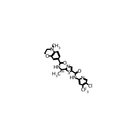 C[C@@H](NC(=O)c1ccc2c(c1)OCCN2C)c1ncc(C(=O)Nc2cc(C(F)(F)F)c(Cl)cn2)s1